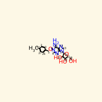 Cc1ccc(CON2C=Nc3c(ncn3[C@@H]3O[C@H](CO)C(O)C3O)C2N)cc1